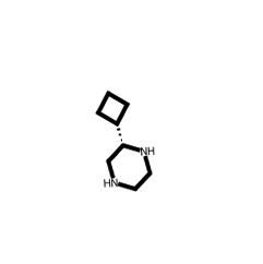 C1CC([C@H]2CNCCN2)C1